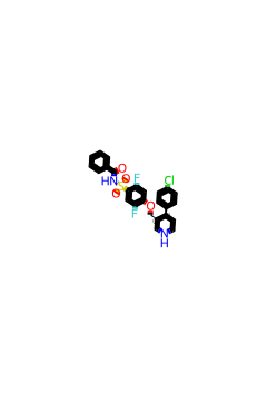 O=C(NS(=O)(=O)c1cc(F)c(OC[C@H]2CNCC[C@@H]2c2ccc(Cl)cc2)cc1F)c1ccccc1